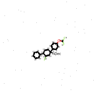 CCCCCCCCCCC1(c2ccc(OC(F)F)cc2)C=CC(c2ccccc2)C(F)=C1